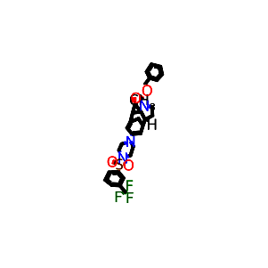 C[C@@H]1C2C3=CC(N4CCN(S(=O)(=O)c5cccc(C(F)(F)F)c5)CC4)=CC(C3)[C@@H]3CCN(C(=O)OCc4ccccc4)C213